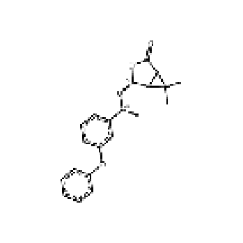 C[C@H](O[C@H]1OC(=O)C2C1C2(C)C)c1cccc(Oc2ccccc2)c1